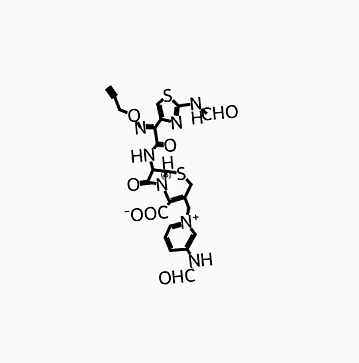 C#CCON=C(C(=O)NC1C(=O)N2C(C(=O)[O-])=C(C[n+]3cccc(NC=O)c3)CS[C@@H]12)c1csc(NC=O)n1